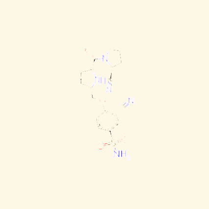 N#Cc1cc(S(N)(=O)=O)ccc1OC[C@H]1CC[C@@H](C(=O)N2CCC[C@H]2C#N)N1